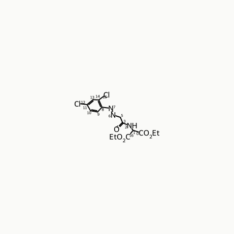 CCOC(=O)C(NC(=O)CN=Nc1ccc(Cl)cc1Cl)C(=O)OCC